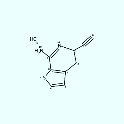 C#CC1Cc2ccsc2C(N)=N1.Cl